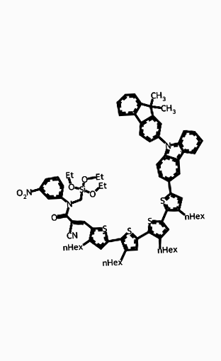 CCCCCCc1cc(-c2sc(-c3sc(-c4sc(-c5ccc6c(c5)c5ccccc5n6-c5ccc6c(c5)C(C)(C)c5ccccc5-6)cc4CCCCCC)cc3CCCCCC)cc2CCCCCC)sc1/C=C(\C#N)C(=O)N(C[Si](OCC)(OCC)OCC)c1cccc([N+](=O)[O-])c1